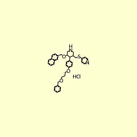 Cl.c1ccc(COCCCOc2ccc(C3C(CSc4ccncc4)CNCC3OCc3ccc4ccccc4c3)cc2)cc1